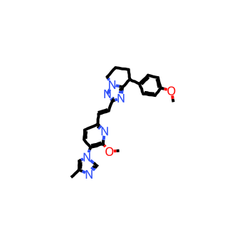 COc1ccc(C2CCCn3nc(C=Cc4ccc(-n5cnc(C)c5)c(OC)n4)nc32)cc1